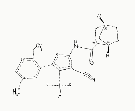 Cc1ccc(C)c(-c2sc(NC(=O)[C@@H]3C[C@@H]4CC[C@H]3C4)c(C#N)c2C(F)(F)F)c1